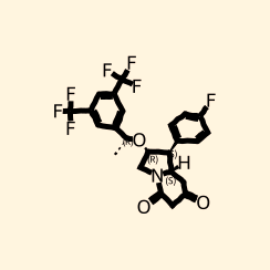 C[C@@H](O[C@H]1CN2C(=O)CC(=O)C[C@H]2[C@@H]1c1ccc(F)cc1)c1cc(C(F)(F)F)cc(C(F)(F)F)c1